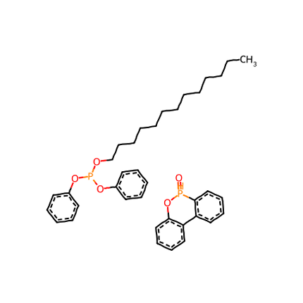 CCCCCCCCCCCCCOP(Oc1ccccc1)Oc1ccccc1.O=[PH]1Oc2ccccc2-c2ccccc21